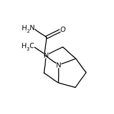 CN1CC2CCC(C1)N2CC(N)=O